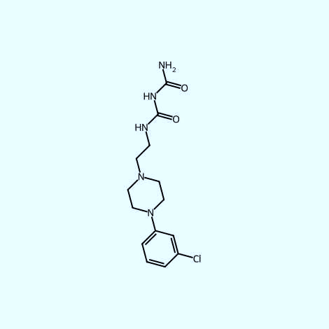 NC(=O)NC(=O)NCCN1CCN(c2cccc(Cl)c2)CC1